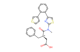 CN(C(=O)[C@@H](CC(=O)O)Cc1ccccc1)c1nc(-c2ccccc2-c2ccsc2)cs1